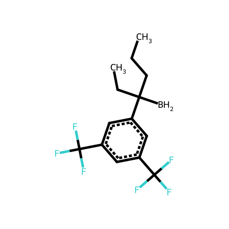 BC(CC)(CCC)c1cc(C(F)(F)F)cc(C(F)(F)F)c1